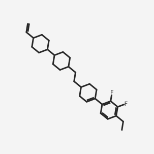 C=CC1CCC(C2CCC(CCC3CC=C(c4ccc(CC)c(F)c4F)CC3)CC2)CC1